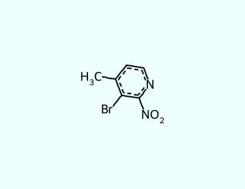 Cc1ccnc([N+](=O)[O-])c1Br